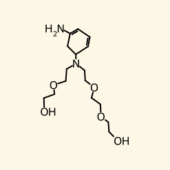 NC1=CC=CC(N(CCOCCO)CCOCCOCCO)C1